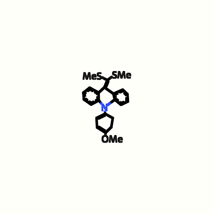 COC1=CC=C(N2c3ccccc3C(=C(SC)SC)c3ccccc32)CC1